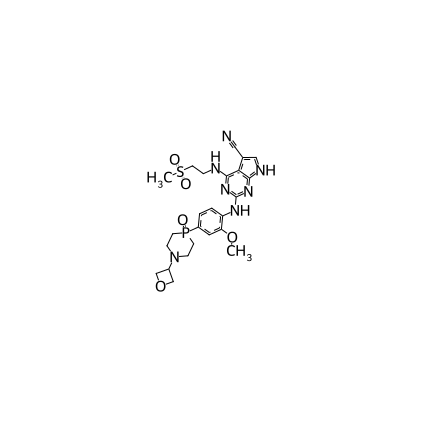 COc1cc(P2(=O)CCN(C3COC3)CC2)ccc1Nc1nc(NCCS(C)(=O)=O)c2c(C#N)c[nH]c2n1